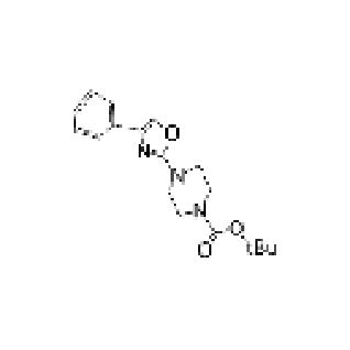 CC(C)(C)OC(=O)N1CCN(c2nc(-c3ccccc3)co2)CC1